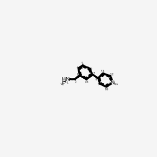 FNCc1cccc(-c2ccncc2)c1